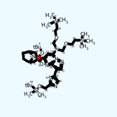 CC(C)(C)OC(=O)N1C2CCC1CC(c1cc(N(COCC[Si](C)(C)C)COCC[Si](C)(C)C)n3ncc(-c4cnc(CO[Si](C)(C)C(C)(C)C)s4)c3n1)C2